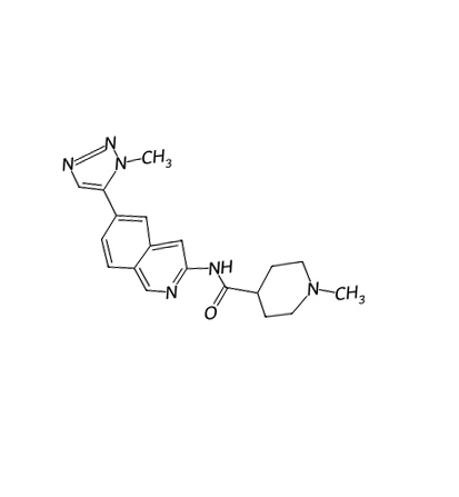 CN1CCC(C(=O)Nc2cc3cc(-c4cnnn4C)ccc3cn2)CC1